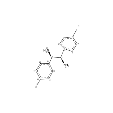 N[C@H](c1ccc(F)cc1)[C@H](N)c1ccc(F)cc1